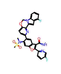 CNC(=O)c1c(-c2ccc(F)cn2)oc2cc(N(C)S(C)(=O)=O)c(-c3ccc4c(n3)-c3cc5c(F)cccc5n3CO4)cc12